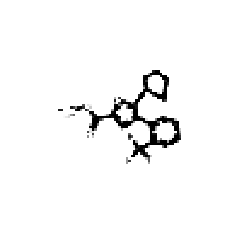 COC(=O)c1cc(-c2ccccc2C(F)(F)F)c(C2CCCC2)o1